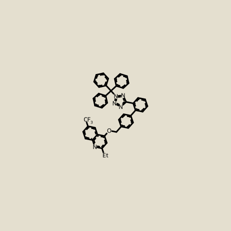 CCc1cc(OCc2ccc(-c3ccccc3-c3nnn(C(c4ccccc4)(c4ccccc4)c4ccccc4)n3)cc2)c2cc(C(F)(F)F)ccc2n1